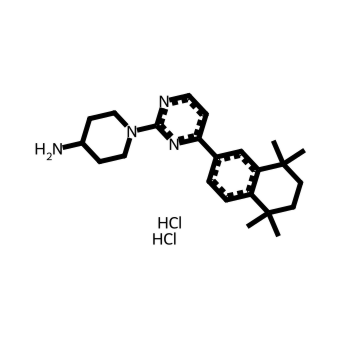 CC1(C)CCC(C)(C)c2cc(-c3ccnc(N4CCC(N)CC4)n3)ccc21.Cl.Cl